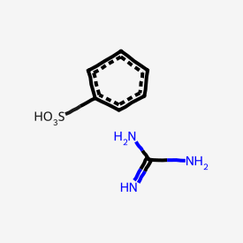 N=C(N)N.O=S(=O)(O)c1ccccc1